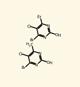 CCc1nc(O)nc(Br)c1Cl.Cc1nc(O)nc(Br)c1Cl